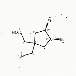 CC[C@@H]1CC(CN)(CC(=O)O)C[C@@H]1CC